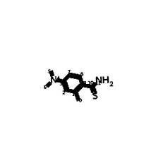 Cc1cc(N(C)C)ccc1C(N)=S